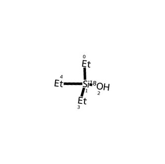 CC[Si]([18OH])(CC)CC